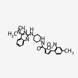 Cc1ccc(-c2ccc(C(=O)N[C@H]3CC[C@@H](Nc4nc(N(C)C)c5ccccc5n4)CC3)o2)c([N+](=O)[O-])c1